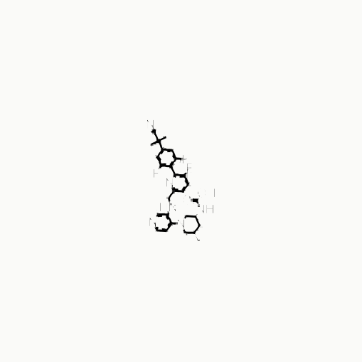 C[C@@H]1C[C@H](NC(=O)O)CN(c2ccncc2NCc2ccc(F)c(-c3c(F)cc(C(C)(C)C#N)cc3F)n2)C1